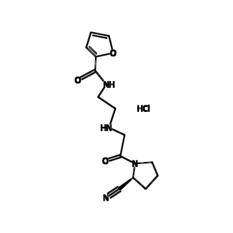 Cl.N#C[C@@H]1CCCN1C(=O)CNCCNC(=O)c1ccco1